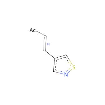 CC(=O)/C=C/c1cnsc1